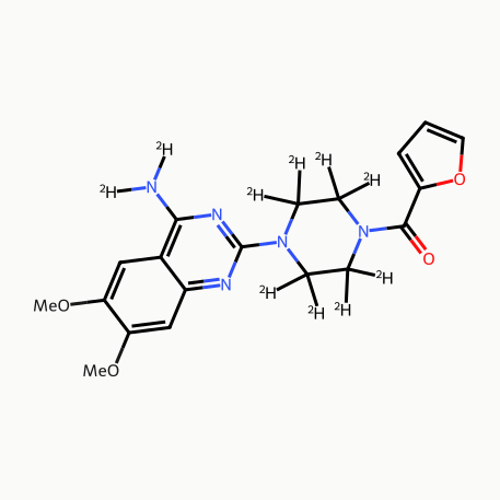 [2H]N([2H])c1nc(N2C([2H])([2H])C([2H])([2H])N(C(=O)c3ccco3)C([2H])([2H])C2([2H])[2H])nc2cc(OC)c(OC)cc12